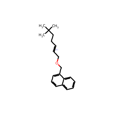 CC(C)(C)CC/C=C/COCc1cccc2ccccc12